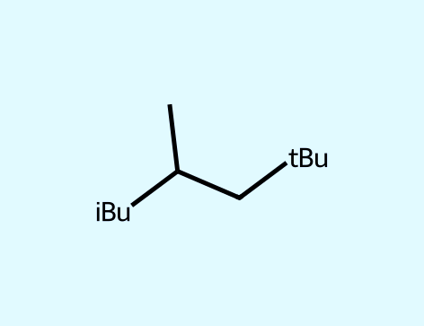 [CH2]C(C)(C)CC(C)C(C)CC